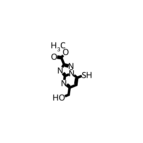 COC(=O)c1nc2nc(CO)cc(S)n2n1